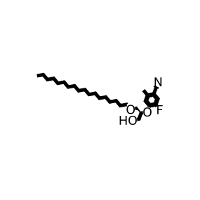 CCCCCCCCCCCCCCCCCCOC[C@H](CO)Oc1cc(C)c(C#N)cc1F